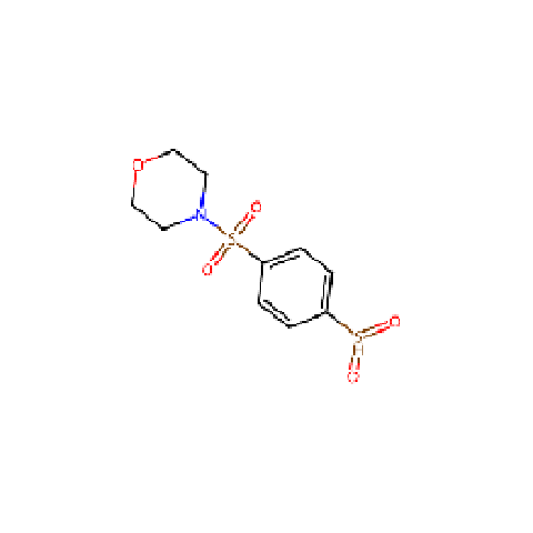 O=[SH](=O)c1ccc(S(=O)(=O)N2CCOCC2)cc1